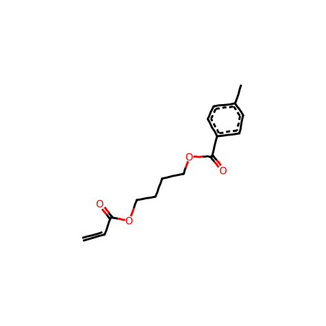 C=CC(=O)OCCCCOC(=O)c1ccc(C)cc1